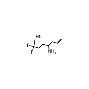 C=CC[C@@H](N)CCC(F)(F)F.Cl